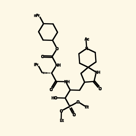 CCCC1CCC(OC(=O)N[C@@H](CC(C)C)C(=O)NC(CC2CC3(CCN(C(C)=O)CC3)NC2=O)C(O)P(=O)(OCC)OCC)CC1